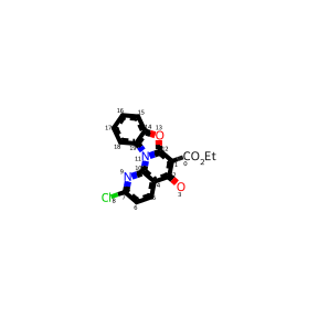 CCOC(=O)c1c(=O)c2ccc(Cl)nc2n2c1oc1ccccc12